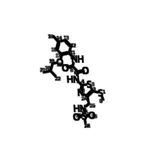 CSc1sc(NC(=O)C(=O)Nc2ccc(C)cc2OCC(C)C)nc1CNS(C)(=O)=O